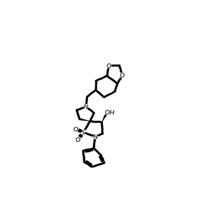 O=S1(=O)N(c2ccccc2)C[C@H](O)[C@]12CCN(CC1CCC3OCOC3C1)C2